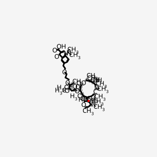 CC[C@H]1OC(=O)[C@H](C)[C@@H](O[C@H]2C[C@@](C)(OC)[C@@H](OCCCOCCc3ccc4c(c3)c(=O)c(C(=O)O)cn4N(C)C)[C@H](C)O2)[C@H](C)[C@@H](O[C@@H]2O[C@H](C)C[C@H](N(C)C)[C@H]2O)[C@](C)(O)C[C@@H](C)CN(C)[C@H](C)[C@@H](O)[C@]1(C)O